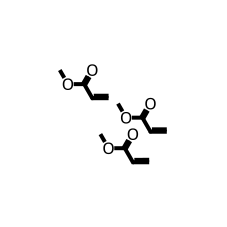 C=CC(=O)OC.C=CC(=O)OC.C=CC(=O)OC